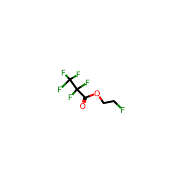 O=C(OCCF)C(F)(F)C(F)(F)F